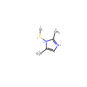 CCSn1c([N+](=O)[O-])cnc1C